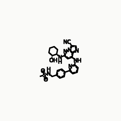 CS(=O)(=O)NCc1ccc(-c2cccc(Nc3cc(N[C@@H]4CCCC[C@H]4O)nn4c(C#N)cnc34)n2)cc1